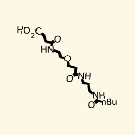 CCCCC(=O)NCCCNC(=O)CCOCCNC(=O)CCC(=O)O